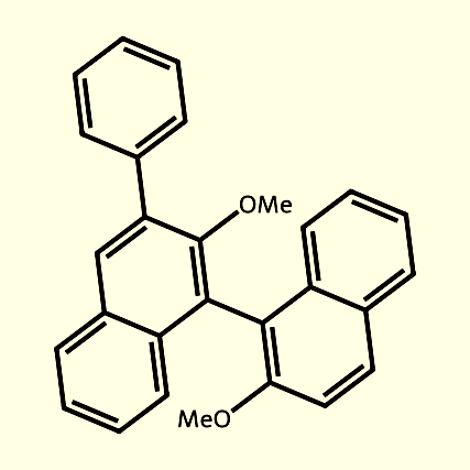 COc1ccc2ccccc2c1-c1c(OC)c(-c2ccccc2)cc2ccccc12